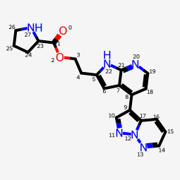 O=C(OCCc1cc2c(-c3cnn4ncccc34)ccnc2[nH]1)C1CCCN1